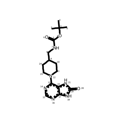 CC(C)(C)OC(=O)NCC1CCN(c2ncnc3[nH]c(=O)[nH]c23)CC1